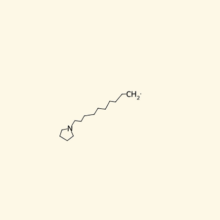 [CH2]CCCCCCCCCN1CCCC1